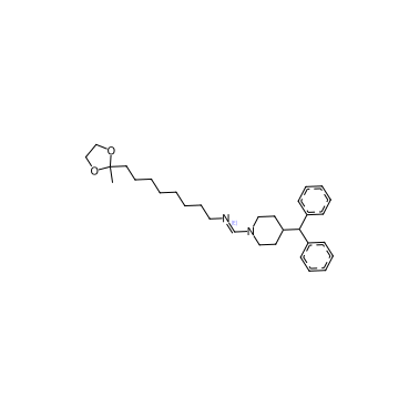 CC1(CCCCCCCC/N=C/N2CCC(C(c3ccccc3)c3ccccc3)CC2)OCCO1